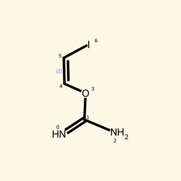 N=C(N)O/C=C\I